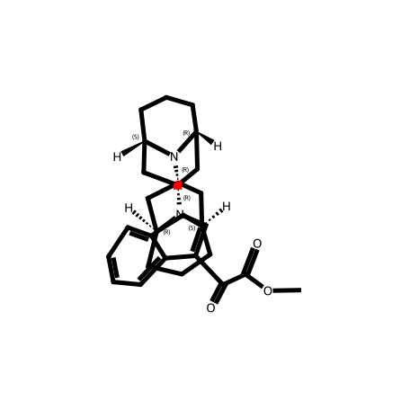 COC(=O)C(=O)c1cn([C@H]2C[C@H]3CCC[C@@H](C2)N3[C@H]2C[C@@H]3CCC[C@@H](C3)C2)c2ccccc12